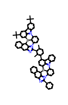 Cc1ccc(-c2ccc3c4c2c2ccccc2n4-c2cccc4c2B3c2c3ccccc3cc3nc(-c5ccccc5)n-4c23)c(C)c1-c1nc2cc3ccccc3c3c2n1-c1cccc2c1B3c1cc(C(C)(C)C)cc3c4cc(C(C)(C)C)ccc4n-2c13